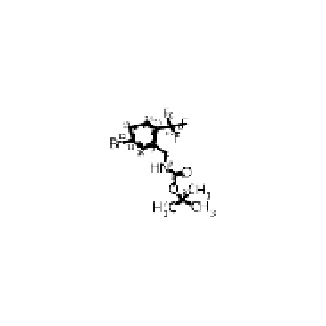 CC(C)(C)OC(=O)NCc1cc(Br)ccc1C(F)(F)F